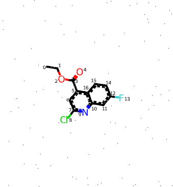 CCOC(=O)c1cc(Cl)nc2cc(F)ccc12